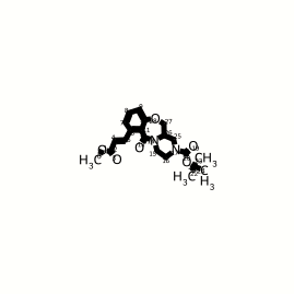 COC(=O)C=Cc1cccc2c1C(=O)N1CCN(C(=O)OC(C)(C)C)CC1CO2